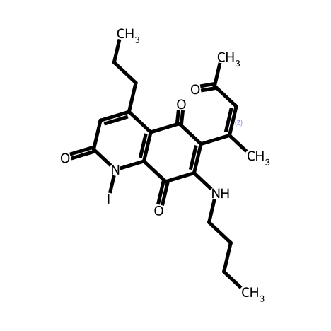 CCCCNC1=C(/C(C)=C\C(C)=O)C(=O)c2c(CCC)cc(=O)n(I)c2C1=O